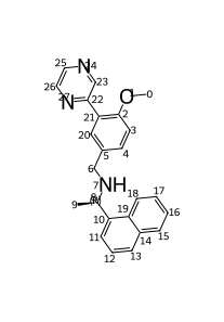 COc1ccc(CN[C@H](C)c2cccc3ccccc23)cc1-c1cnccn1